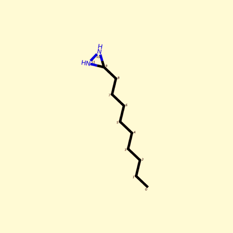 CCCCCCCCCC1NN1